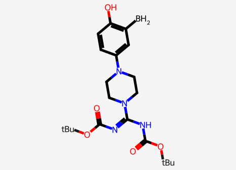 Bc1cc(N2CCN(/C(=N\C(=O)OC(C)(C)C)NC(=O)OC(C)(C)C)CC2)ccc1O